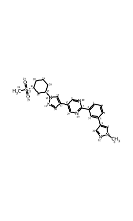 Cn1cc(-c2cccc(-c3ncc(-c4cnn([C@@H]5CCC[C@@H](S(C)(=O)=O)C5)c4)cn3)c2)cn1